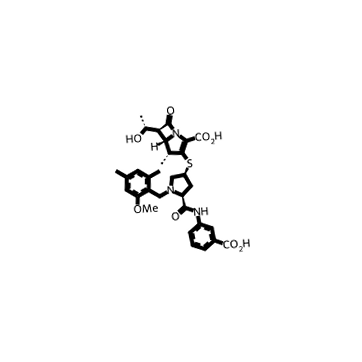 COc1cc(C)cc(C)c1CN1C[C@@H](SC2=C(C(=O)O)N3C(=O)[C@H]([C@@H](C)O)[C@H]3[C@H]2C)C[C@H]1C(=O)Nc1cccc(C(=O)O)c1